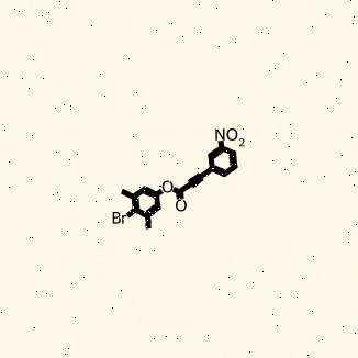 Cc1cc(OC(=O)C#Cc2cccc([N+](=O)[O-])c2)cc(C)c1Br